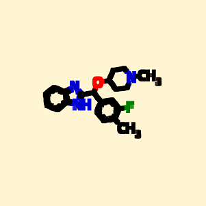 Cc1ccc(C(OC2CCN(C)CC2)c2nc3ccccc3[nH]2)cc1F